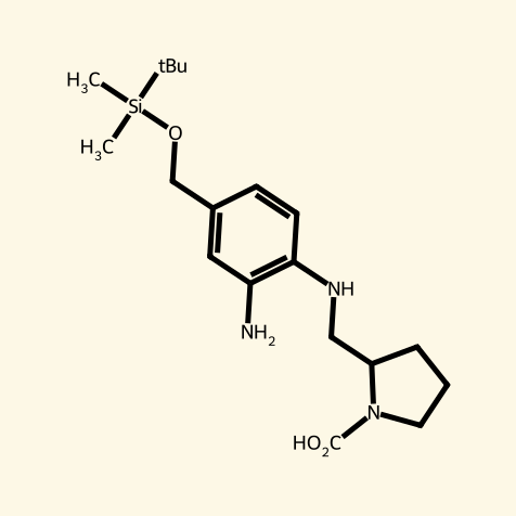 CC(C)(C)[Si](C)(C)OCc1ccc(NCC2CCCN2C(=O)O)c(N)c1